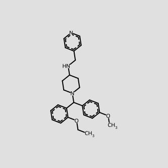 CCOc1ccccc1C(c1ccc(OC)cc1)N1CCC(NCc2ccncc2)CC1